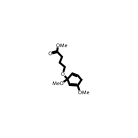 COC(=O)CCCOC1(OC)C=C[CH]C(OC)=C1